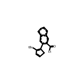 CCC(=O)c1cc2ccccc2cc1C1=C(C(C)(C)C)C=CC1